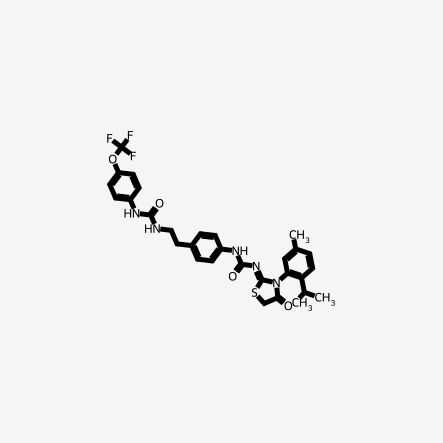 Cc1ccc(C(C)C)c(N2C(=O)CS/C2=N\C(=O)Nc2ccc(CCNC(=O)Nc3ccc(OC(F)(F)F)cc3)cc2)c1